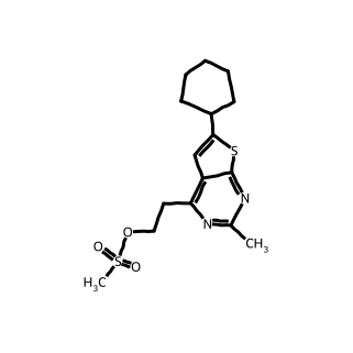 Cc1nc(CCOS(C)(=O)=O)c2cc(C3CCCCC3)sc2n1